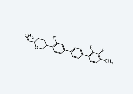 C=CC1CCC(c2ccc(-c3ccc(-c4ccc(C)c(F)c4F)cc3)cc2F)CO1